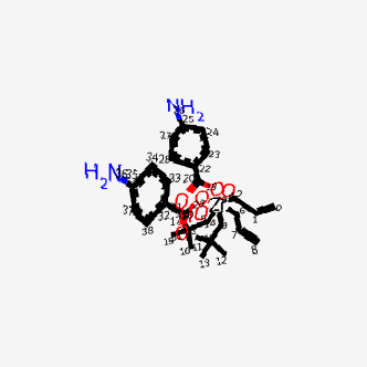 C=C[CH2][Zr](=[O])([OH])([CH2]C=C)([CH2]C(C)(C)C)([CH2]C(C)(C)C)([O]C(=O)c1ccc(N)cc1)[O]C(=O)c1ccc(N)cc1